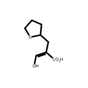 O=C(O)C(=CO)CC1CCCO1